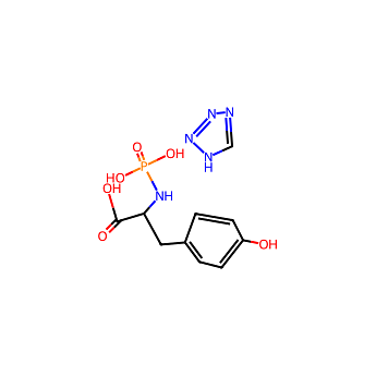 O=C(O)C(Cc1ccc(O)cc1)NP(=O)(O)O.c1nnn[nH]1